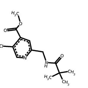 COC(=O)c1cc(CNC(=O)C(C)(C)C)ncc1Cl